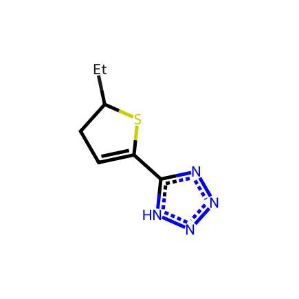 CCC1CC=C(c2nnn[nH]2)S1